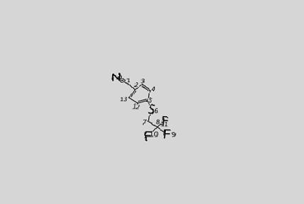 N#Cc1ccc(SCC(F)(F)F)cc1